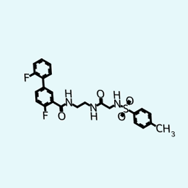 Cc1ccc(S(=O)(=O)NCC(=O)NCCNC(=O)c2cc(-c3ccccc3F)ccc2F)cc1